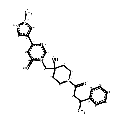 CC(CC(=O)N1CCC(O)(Cn2cnc(-c3cnn(C)c3)cc2=O)CC1)c1ccccc1